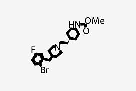 COC(=O)N[C@H]1CC[C@H](CCN2CCC(Cc3cc(F)ccc3Br)CC2)CC1